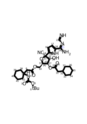 CC(C)(C)OC(=O)NC1(CC(=O)OC[C@H]2O[C@@](C#N)(c3ccc(/C(N)=N\C=N)[nH]3)[C@H](O)[C@@H]2OC(=O)CC2CCCCC2)CCCCC1